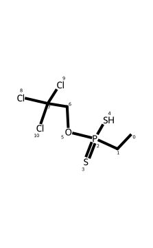 CCP(=S)(S)OCC(Cl)(Cl)Cl